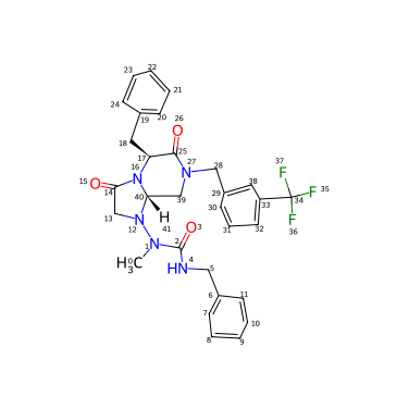 CN(C(=O)NCc1ccccc1)N1CC(=O)N2[C@@H](Cc3ccccc3)C(=O)N(Cc3cccc(C(F)(F)F)c3)C[C@@H]21